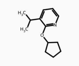 CC(C)c1cccnc1OC1CCCC1